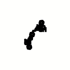 Cc1oc(-c2ccccc2)nc1COc1ccc(CCCON=C(C(=O)O)c2ccccc2)cc1